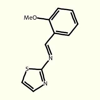 COc1ccccc1C=Nc1nccs1